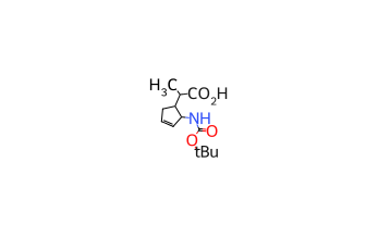 CC(C(=O)O)C1CC=CC1NC(=O)OC(C)(C)C